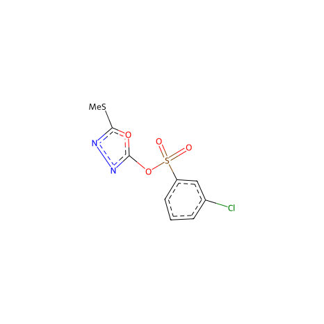 CSc1nnc(OS(=O)(=O)c2cccc(Cl)c2)o1